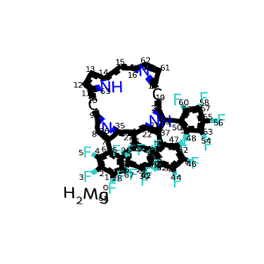 Fc1c(F)c(F)c(C2=Cc3cc4ccc(cc5nc(cc6[nH]c(c(-c7c(F)c(F)c(F)c(F)c7F)c2n3)c(-c2c(F)c(F)c(F)c(F)c2F)c6-c2c(F)c(F)c(F)c(F)c2F)C=C5)[nH]4)c(F)c1F.[MgH2]